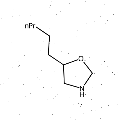 CCCCCC1CN[CH]O1